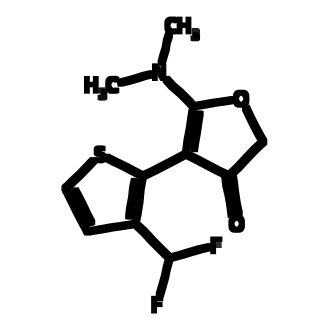 CN(C)C1=C(c2sccc2C(F)F)C(=O)CO1